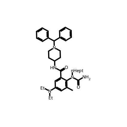 CCCCCCCN(C(N)=O)c1c(C)cc(N(CC)CC)cc1C(=O)NC1CCN(C(c2ccccc2)c2ccccc2)CC1